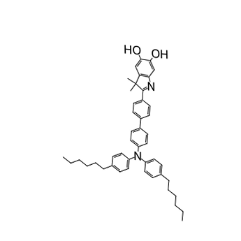 CCCCCCc1ccc(N(c2ccc(CCCCCC)cc2)c2ccc(-c3ccc(C4=Nc5cc(O)c(O)cc5C4(C)C)cc3)cc2)cc1